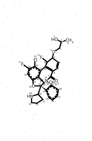 C[C@H](O)COC1C=CC(C(N)=O)=C(c2c(Cl)c(F)cc3c2[C@H](C)[C@](c2ccccc2)(C2CCCN2)O3)C1F